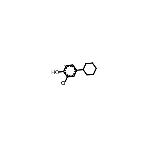 Oc1[c]cc(C2CCCCC2)cc1Cl